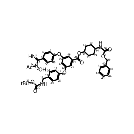 CC(=O)N(O)C(=N)c1ccc(Oc2cc(Oc3ccc(CNC(=O)OC(C)(C)C)cc3)cc(C(=O)OC3CCC(NC(=O)OCc4ccccc4)CC3)c2)cc1